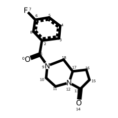 O=C(c1cccc(F)c1)N1CCN2C(=O)CCC2C1